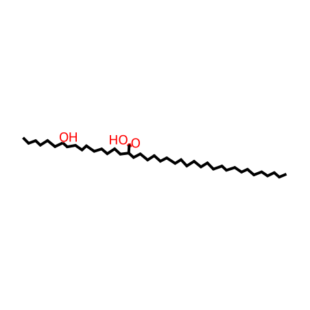 CCCCCCCCCCCCCCCCCCCCCCCCC(CCCCCCCCCC(O)CCCCCC)C(=O)O